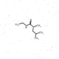 CCNC(=O)N(C)CC(C)C